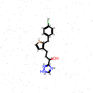 OC(CCc1ccsc1Cc1ccc(F)cc1)c1nc[nH]n1